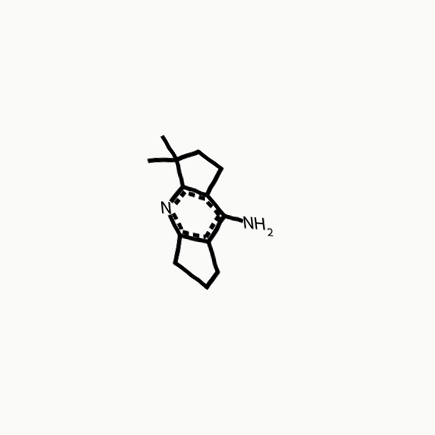 CC1(C)CCc2c1nc1c(c2N)CCC1